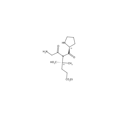 CCOC(=O)CC[C@@](C)(C(=O)O)N(C(=O)CN)C(=O)[C@@H]1CCCN1